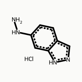 Cl.NNc1ccc2cn[nH]c2c1